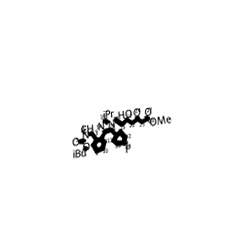 CCC(C)OC(=O)N(C)Cc1ccccc1-c1nc(C(C)C)n(C=CC(O)CC(=O)CC(=O)OC)c1-c1ccc(F)cc1